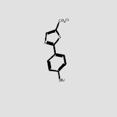 CCOC(=O)c1cnc(-c2ccc(C(C)(C)C)cc2)s1